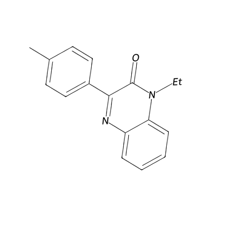 CCn1c(=O)c(-c2ccc(C)cc2)nc2ccccc21